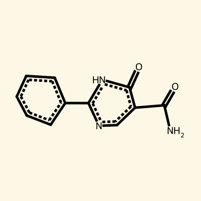 NC(=O)c1cnc(-c2ccccc2)[nH]c1=O